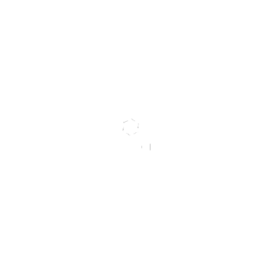 CCCCCc1ccc(CO)c(CCCCC)c1